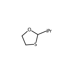 CC(C)C1OCCS1